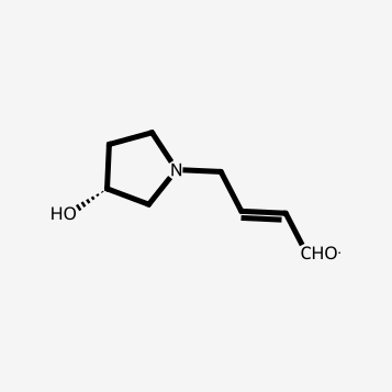 O=[C]/C=C/CN1CC[C@@H](O)C1